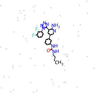 CCCCNC(=O)Nc1cccc(-c2cnc(N)c(-c3nnnn3-c3cccc(F)c3F)c2)c1